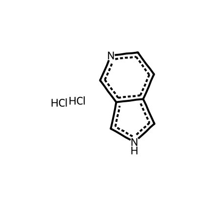 Cl.Cl.c1cc2c[nH]cc2cn1